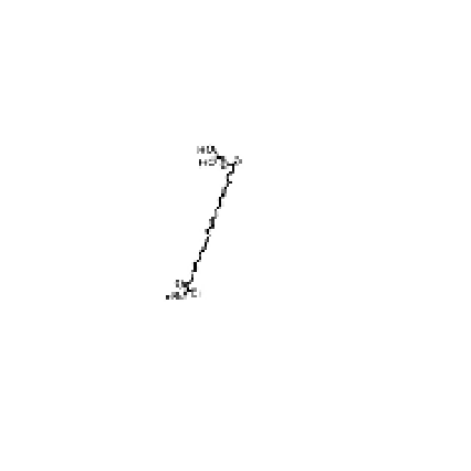 CCCCC(CC)C(=O)CCCCCCCCCCCCCCCCCCCCCC(=O)OCC(O)CO